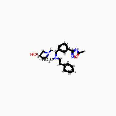 Cc1nc(-c2cccc([C@@H](CN3CC[C@H](O)C3)N(CCc3ccccc3)C(=O)O)c2)no1